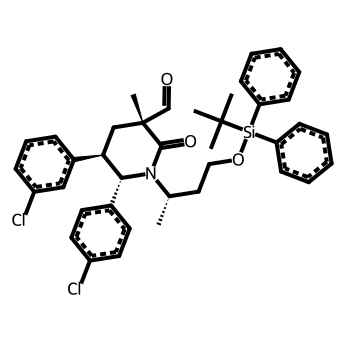 C[C@@H](CCO[Si](c1ccccc1)(c1ccccc1)C(C)(C)C)N1C(=O)[C@@](C)(C=O)C[C@H](c2cccc(Cl)c2)[C@H]1c1ccc(Cl)cc1